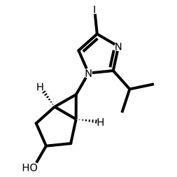 CC(C)c1nc(I)cn1C1[C@H]2CC(O)C[C@@H]12